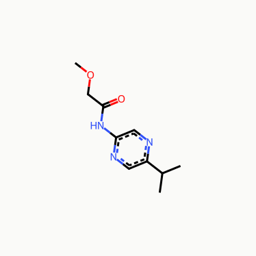 COCC(=O)Nc1cnc(C(C)C)cn1